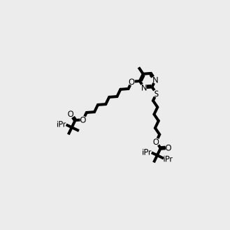 Cc1cnc(SCCCCCCOC(=O)C(C)(C(C)C)C(C)C)nc1OCCCCCCCCOC(=O)C(C)(C)C(C)C